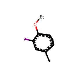 CCOc1ccc(C)cc1I